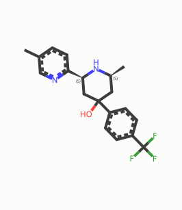 Cc1ccc([C@@H]2CC(O)(c3ccc(C(F)(F)F)cc3)C[C@H](C)N2)nc1